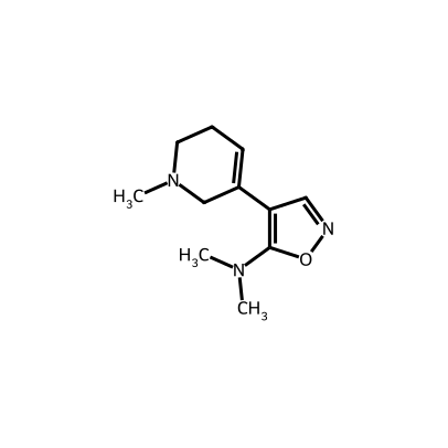 CN1CCC=C(c2cnoc2N(C)C)C1